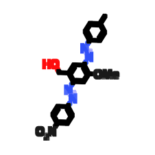 COc1cc(/N=N/c2ccc([N+](=O)[O-])cc2)c(CO)cc1/N=N/c1ccc(C)cc1